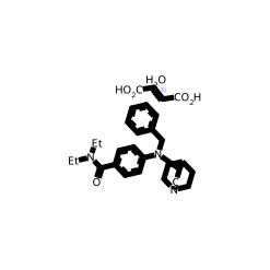 CCN(CC)C(=O)c1ccc(N(Cc2ccccc2)C2CN3CCC2CC3)cc1.O.O=C(O)/C=C/C(=O)O